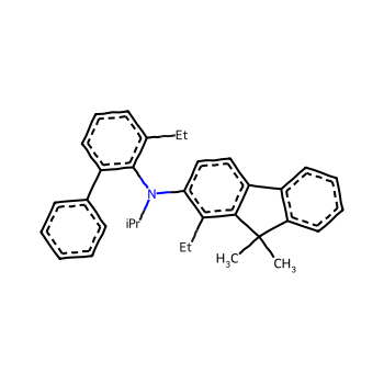 CCc1cccc(-c2ccccc2)c1N(c1ccc2c(c1CC)C(C)(C)c1ccccc1-2)C(C)C